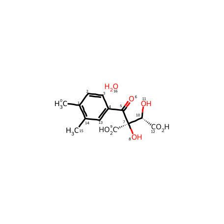 Cc1ccc(C(=O)[C@@](O)(C(=O)O)[C@H](O)C(=O)O)cc1C.O